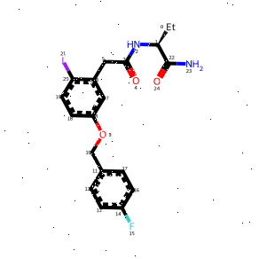 CC[C@H](NC(=O)Cc1cc(OCc2ccc(F)cc2)ccc1I)C(N)=O